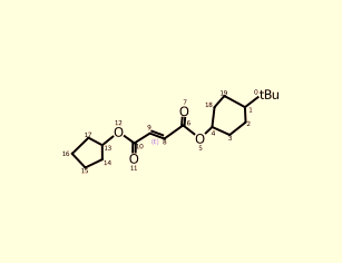 CC(C)(C)C1CCC(OC(=O)/C=C/C(=O)OC2CCCC2)CC1